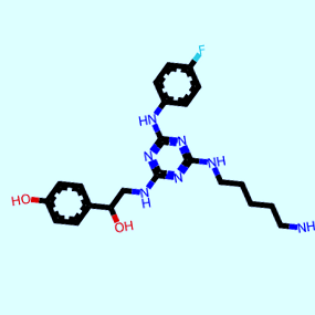 NCCCCCNc1nc(NCC(O)c2ccc(O)cc2)nc(Nc2ccc(F)cc2)n1